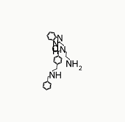 NCCCN(Cc1nc2ccccc2[nH]1)C(=O)c1ccc(CCNCc2ccccc2)cc1